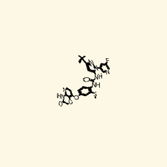 CSc1cc(Oc2ccnc3c2OCC(=O)N3)ccc1NC(=O)Nc1cc(C(C)(C)C)nn1-c1cncc(F)c1